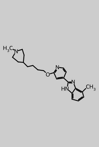 Cc1cccc2[nH]c(-c3ccnc(OCCCCC4CCN(C)CC4)c3)nc12